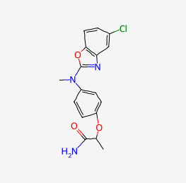 CC(Oc1ccc(N(C)c2nc3cc(Cl)ccc3o2)cc1)C(N)=O